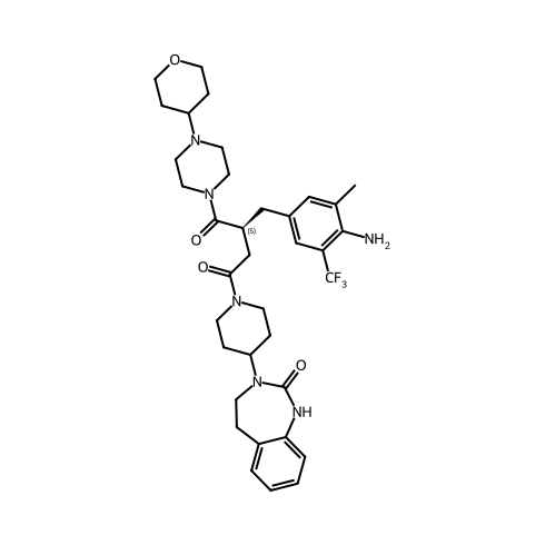 Cc1cc(C[C@@H](CC(=O)N2CCC(N3CCc4ccccc4NC3=O)CC2)C(=O)N2CCN(C3CCOCC3)CC2)cc(C(F)(F)F)c1N